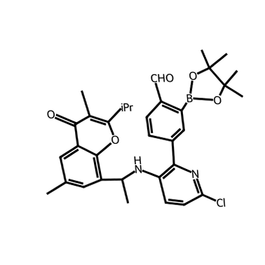 Cc1cc(C(C)Nc2ccc(Cl)nc2-c2ccc(C=O)c(B3OC(C)(C)C(C)(C)O3)c2)c2oc(C(C)C)c(C)c(=O)c2c1